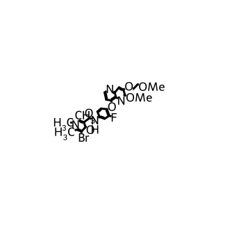 COCCOc1cc2nccc(Oc3ccc(NC(=O)c4c(C)n(C)c(C)c(Br)c4=O)cc3F)c2nc1OC